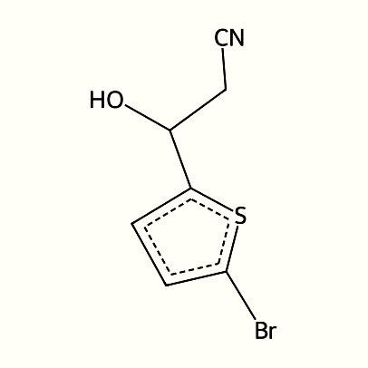 N#CCC(O)c1ccc(Br)s1